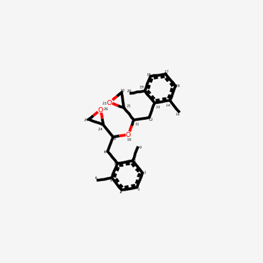 Cc1cccc(C)c1CC(OC(Cc1c(C)cccc1C)C1CO1)C1CO1